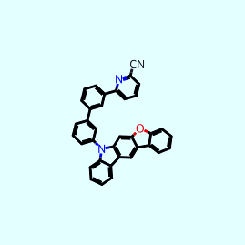 N#Cc1cccc(-c2cccc(-c3cccc(-n4c5ccccc5c5cc6c(cc54)oc4ccccc46)c3)c2)n1